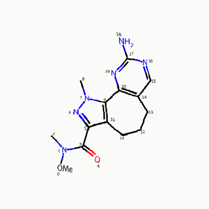 CON(C)C(=O)c1nn(C)c2c1CCCc1cnc(N)nc1-2